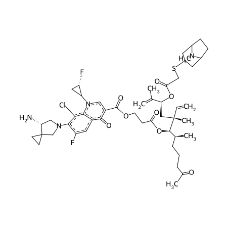 C=C[C@@](C)(C[C@H](OC(=O)CSC1CC2CCC(C1)N2C)C(=C)C)[C@H](OC(=O)CCOC(=O)c1cn(C2C[C@@H]2F)c2c(Cl)c(N3C[C@@H](N)C4(CC4)C3)c(F)cc2c1=O)[C@@H](C)CCCC(C)=O